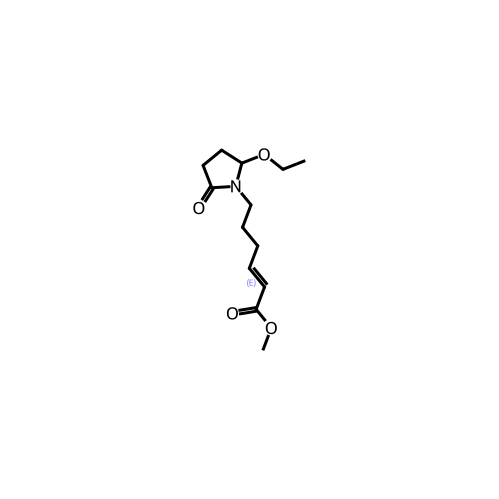 CCOC1CCC(=O)N1CCC/C=C/C(=O)OC